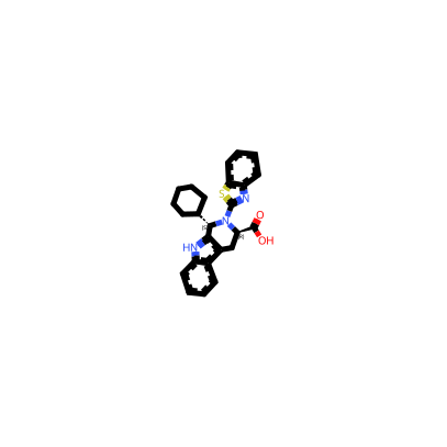 O=C(O)[C@H]1Cc2c([nH]c3ccccc23)[C@H](C2CCCCC2)N1c1nc2ccccc2s1